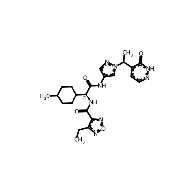 CCc1nonc1C(=O)N[C@H](C(=O)Nc1cnn(C(C)c2ccn[nH]c2=O)c1)C1CCC(C)CC1